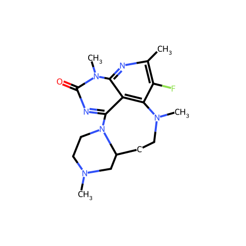 Cc1nc2c3c(nc(=O)n2C)N2CCN(C)CC2CCN(C)c3c1F